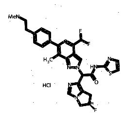 CNCCc1ccc(-c2cc(C(F)F)c3cn(C(C(=O)Nc4nccs4)c4ncn5c4C[C@@H](F)C5)nc3c2C)cc1.Cl